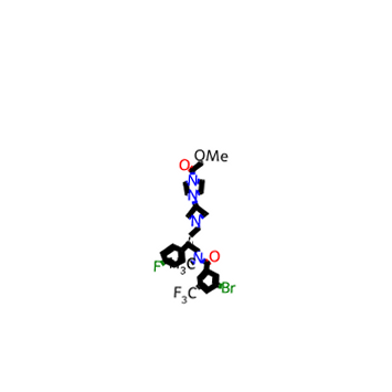 COCC(=O)N1CCN(C2CN(CC[C@H](CN(C)C(=O)c3cc(Br)cc(C(F)(F)F)c3)c3ccc(F)cc3)C2)CC1